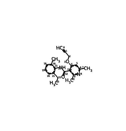 C#CCOc1cc(C)nc(C)c1C(=O)Nc1c(C)cccc1CC